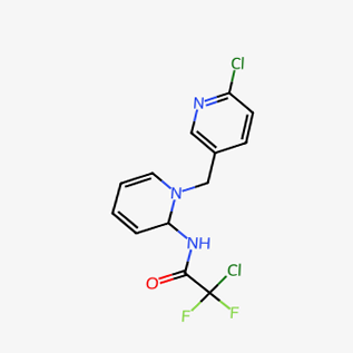 O=C(NC1C=CC=CN1Cc1ccc(Cl)nc1)C(F)(F)Cl